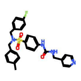 Cc1ccc(CN(Cc2ccc(F)cc2)S(=O)(=O)c2ccc(NC(=O)NCc3ccncc3)cc2)cc1